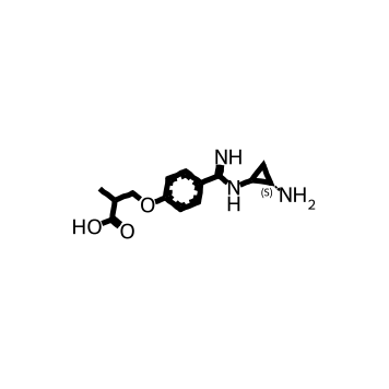 CC(COc1ccc(C(=N)NC2C[C@@H]2N)cc1)C(=O)O